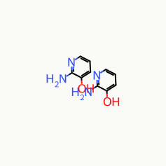 Nc1ncccc1O.Nc1ncccc1O